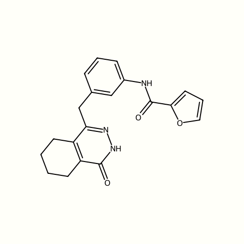 O=C(Nc1cccc(Cc2n[nH]c(=O)c3c2CCCC3)c1)c1ccco1